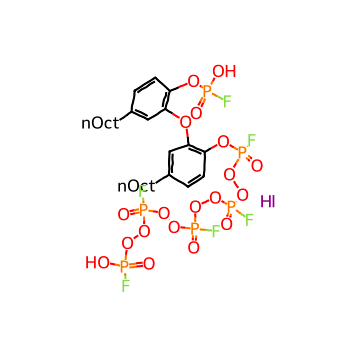 CCCCCCCCc1ccc(OP(=O)(O)F)c(Oc2cc(CCCCCCCC)ccc2OP(=O)(F)OOP(=O)(F)OOP(=O)(F)OOP(=O)(F)OOP(=O)(O)F)c1.I